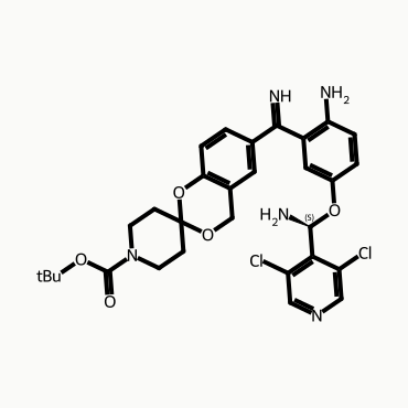 CC(C)(C)OC(=O)N1CCC2(CC1)OCc1cc(C(=N)c3cc(O[C@H](N)c4c(Cl)cncc4Cl)ccc3N)ccc1O2